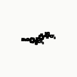 COc1ccc(S(C)(=O)=Nc2ccc(-c3noc(C(F)(F)F)n3)nc2)cc1